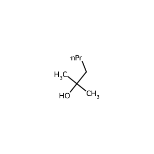 CC[CH]CC(C)(C)O